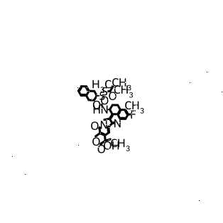 CC[C@@]1(O)C(=O)OCc2c1cc1n(c2=O)Cc2c-1nc1cc(F)c(C)c3c1c2[C@@H](NC(=O)O[C@@H]1Cc2ccccc2C[C@H]1SSC(=O)C(C)(C)C)CC3